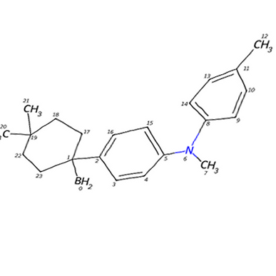 BC1(c2ccc(N(C)c3ccc(C)cc3)cc2)CCC(C)(C)CC1